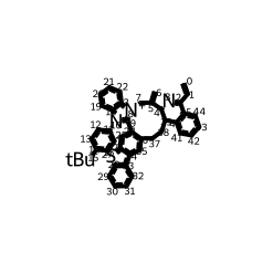 C=CC1=NC2C(=C)C[n+]3c(n(-c4ccc(C(C)(C)C)cc4)c4ccccc43)-c3cc4sc5ccccc5c4cc3CCC2c2ccccc21